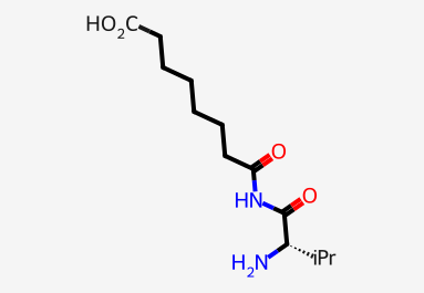 CC(C)[C@H](N)C(=O)NC(=O)CCCCCCC(=O)O